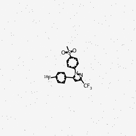 CS(=O)(=O)c1ccc(-n2nc(C(F)(F)F)cc2-c2ccc([18F])cc2)cc1